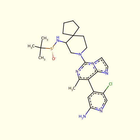 Cc1nc(N2CCC3(CCCC3)C(N[S@+]([O-])C(C)(C)C)C2)n2ccnc2c1-c1cc(N)ncc1Cl